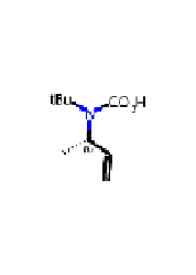 C=C[C@H](C)N(C(=O)O)C(C)(C)C